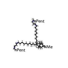 CCCCC/C=C\C/C=C\CCCCCCCCCC1(CCCCCCCCC/C=C\C/C=C\CCCCC)O[C@H]2C[C@@H](NC)C[C@H]2O1